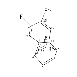 Fc1[c]c2c3ccc(c(F)c3)c2[c]c1F